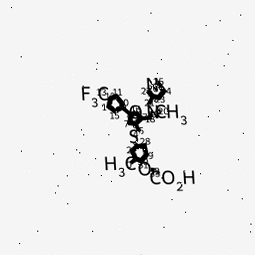 Cc1cc(SCc2cc(-c3ccc(C(F)(F)F)cc3)oc2CN(C)Cc2cccnc2)ccc1OCC(=O)O